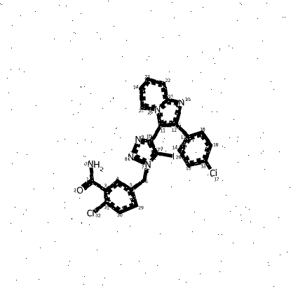 NC(=O)c1cc(Cn2nnc(-c3c(-c4ccc(Cl)cc4)nc4ccccn34)c2I)ccc1Cl